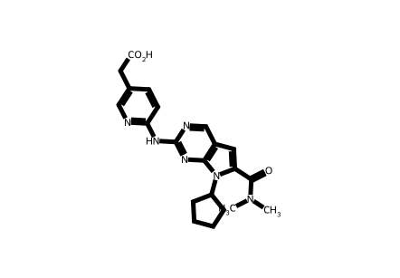 CN(C)C(=O)c1cc2cnc(Nc3ccc(CC(=O)O)cn3)nc2n1C1CCCC1